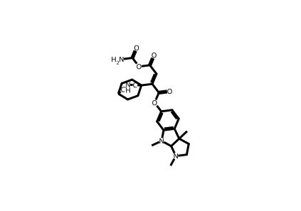 CN1CCC2(C)c3ccc(OC(=O)/C(=C/C(=O)OC(N)=O)C45CCC(CC4)CNC5)cc3N(C)C12